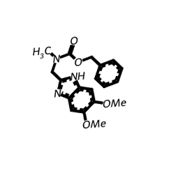 COc1cc2nc(CN(C)C(=O)OCc3ccccc3)[nH]c2cc1OC